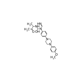 COc1ccc(N2CCN(c3ccc(N(C=N)C(O)NC(C)C(C)=O)cc3)CC2)cc1